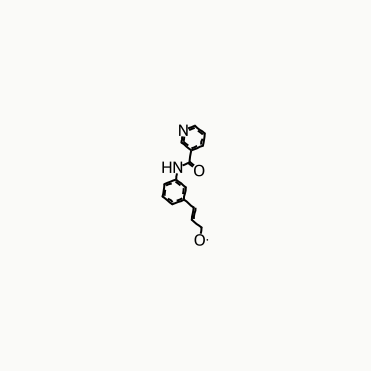 [O]CC=Cc1cccc(NC(=O)c2cccnc2)c1